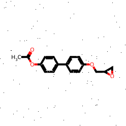 CC(=O)Oc1ccc(-c2ccc(OCC3CO3)cc2)cc1